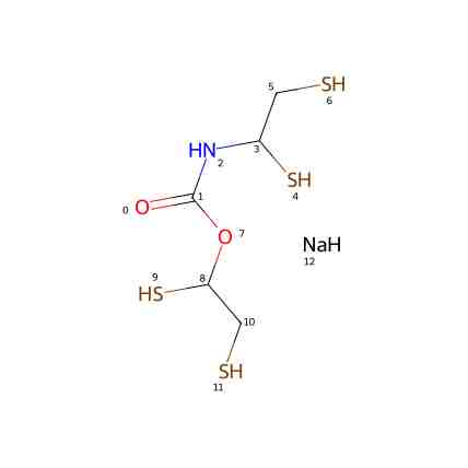 O=C(NC(S)CS)OC(S)CS.[NaH]